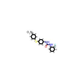 O=C(Nc1ccc(Sc2ccc([N+](=O)[O-])cc2)cc1)Nc1ccccc1F